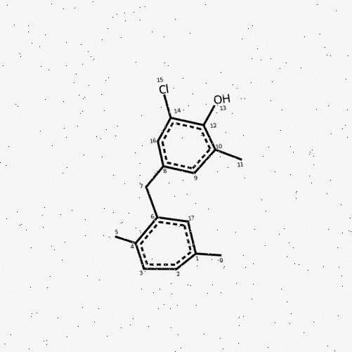 Cc1ccc(C)c(Cc2cc(C)c(O)c(Cl)c2)c1